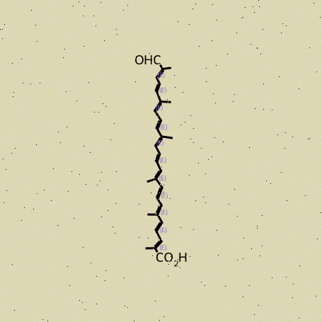 C\C(C=O)=C/C=C/C(C)=C/C=C/C(C)=C/C=C/C=C(C)/C=C/C=C(C)/C=C/C=C(\C)C(=O)O